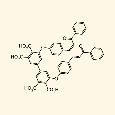 O=C(C=Cc1ccc(Oc2cc(-c3cc(Oc4ccc(C=CC(=O)c5ccccc5)cc4)c(C(=O)O)c(C(=O)O)c3)cc(C(=O)O)c2C(=O)O)cc1)c1ccccc1